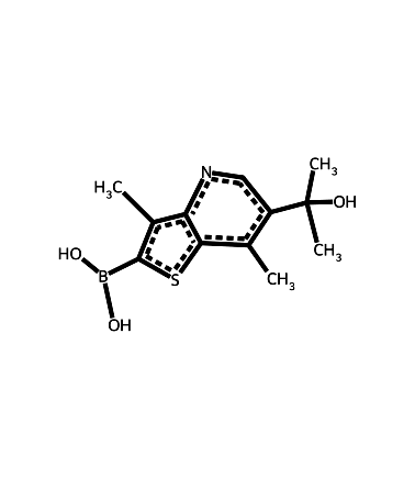 Cc1c(B(O)O)sc2c(C)c(C(C)(C)O)cnc12